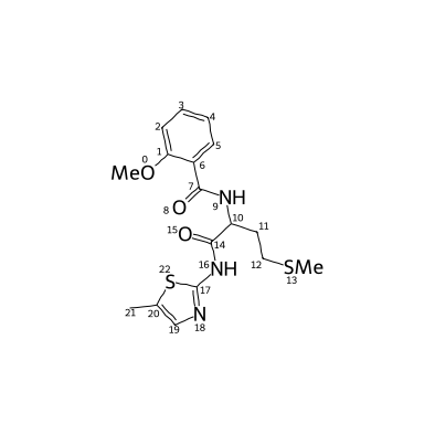 COc1ccccc1C(=O)NC(CCSC)C(=O)Nc1ncc(C)s1